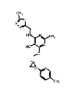 Cc1ccc([C@H]2C[C@@H]2COc2nc(N)nc(NCc3nnc(C)s3)c2C#N)nc1